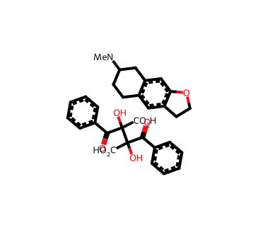 CNC1CCc2cc3c(cc2C1)OCC3.O=C(O)C(O)(C(=O)c1ccccc1)C(O)(C(=O)O)C(=O)c1ccccc1